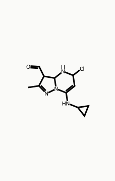 CC1=NN2C(NC3CC3)=CC(Cl)NC2C1C=O